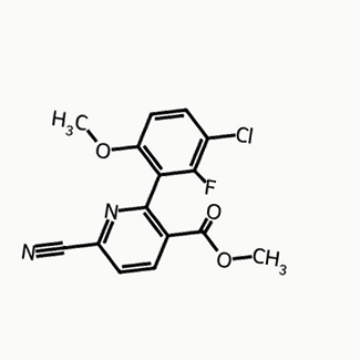 COC(=O)c1ccc(C#N)nc1-c1c(OC)ccc(Cl)c1F